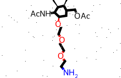 CC(=O)NC1[C@@H](C)[C@@H](C)C(COC(C)=O)C[C@H]1OCCOCCOCCN